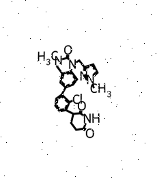 CN1Cc2cc(-c3cccc(C4CCC(=O)NC4=O)c3Cl)ccc2N(Cc2ccn(C)n2)C1=O